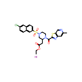 CCOC(=O)CC1CN(S(=O)(=O)c2ccc3cc(Cl)ccc3c2)CCN1C(=O)c1nc2cc(C)ncc2s1.I